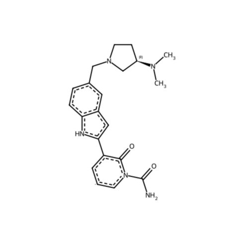 CN(C)[C@@H]1CCN(Cc2ccc3[nH]c(-c4c[c]cn(C(N)=O)c4=O)cc3c2)C1